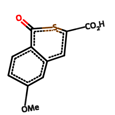 COc1ccc2c(=O)sc(C(=O)O)cc2c1